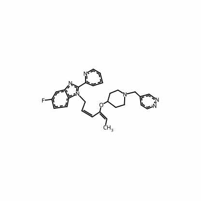 C/C=C(\C=C/Cn1c(-c2ccccn2)nc2cc(F)ccc21)OC1CCN(Cc2ccnnc2)CC1